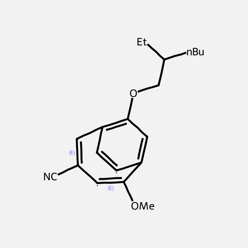 CCCCC(CC)COc1cc2[c]cc1/C=C(C#N)\[C]=C/2OC